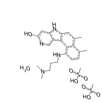 CS(=O)(=O)O.CS(=O)(=O)O.Cc1ccc(NCCCN(C)C)c2c1c(C)cc1[nH]c3cc(O)ncc3c12.O